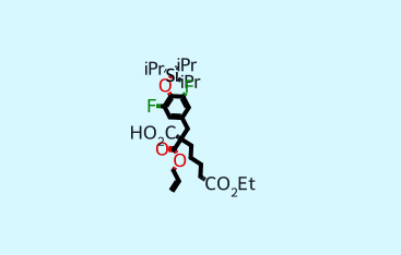 C=CCOC(=O)C(CCCCC(=O)OCC)(Cc1cc(F)c(O[Si](C(C)C)(C(C)C)C(C)C)c(F)c1)C(=O)O